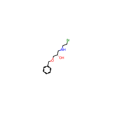 O[C@@H](CNCCBr)COCc1ccccc1